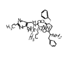 CC[C@H](C)[C@H](NC(=O)[C@H](Cc1ccccc1)C[C@H](O)[C@@H](N)Cc1ccccc1)C(=O)NCc1cnc(C)nc1N